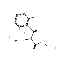 CCCCCOC(=O)C(CCCC)C(=O)c1c(OC)cccc1OC.O=[PH3]